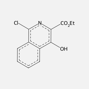 CCOC(=O)c1nc(Cl)c2ccccc2c1O